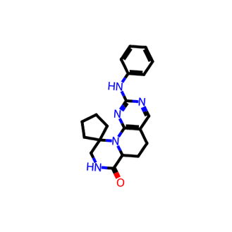 O=C1NCC2(CCCC2)N2c3nc(Nc4ccccc4)ncc3CCC12